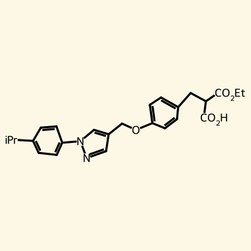 CCOC(=O)C(Cc1ccc(OCc2cnn(-c3ccc(C(C)C)cc3)c2)cc1)C(=O)O